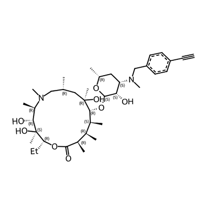 C#Cc1ccc(CN(C)[C@H]2C[C@@H](C)O[C@@H](O[C@@H]3[C@@H](C)[C@@H](C)[C@@H](C)C(=O)O[C@H](CC)[C@@](C)(O)[C@H](O)[C@@H](C)N(C)C[C@H](C)C[C@@]3(C)O)[C@H]2O)cc1